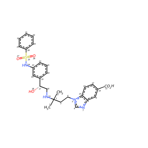 CC(C)(CCn1cnc2cc(C(=O)O)ccc21)NC[C@H](O)c1cccc(NS(=O)(=O)c2ccccc2)c1